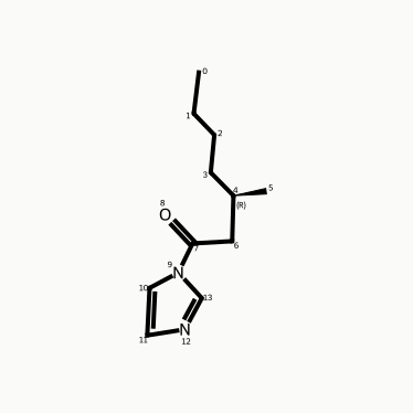 CCCC[C@@H](C)CC(=O)n1ccnc1